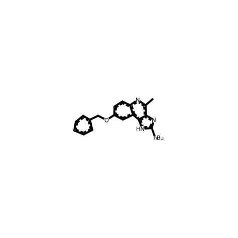 CCCCc1nc2c(C)nc3ccc(OCc4ccccc4)cc3c2[nH]1